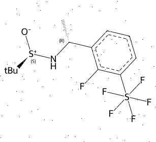 C[C@@H](N[S@+]([O-])C(C)(C)C)c1cccc(S(F)(F)(F)(F)F)c1F